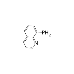 Pc1cccc2cccnc12